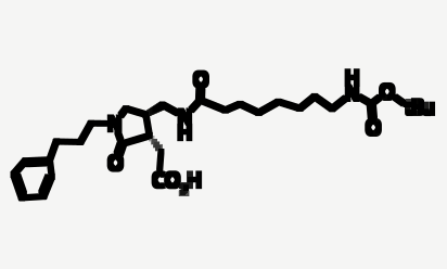 CC(C)(C)OC(=O)NCCCCCCCC(=O)NC[C@@H]1CN(CCCc2ccccc2)C(=O)[C@H]1CC(=O)O